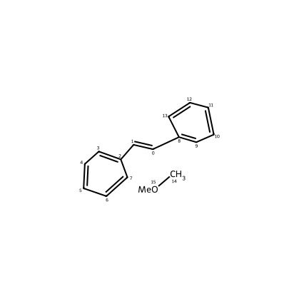 C(=Cc1ccccc1)c1ccccc1.COC